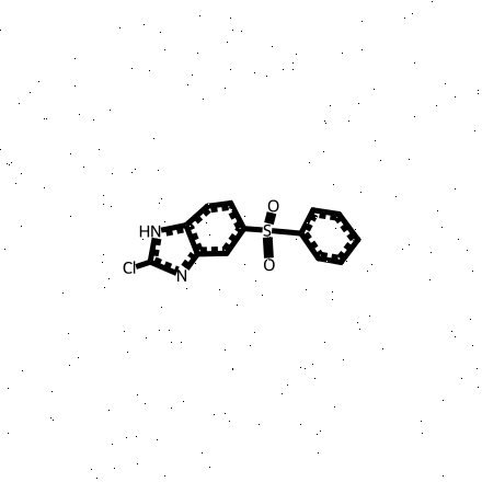 O=S(=O)(c1ccccc1)c1ccc2[nH]c(Cl)nc2c1